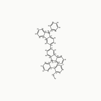 CSc1ccccc1-c1ccccc1-n1c2ccccc2c2cc(-c3ccc4c(c3)c3ccccc3n4-c3ccccc3)ccc21